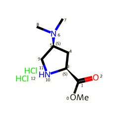 COC(=O)[C@@H]1C[C@H](N(C)C)CN1.Cl.Cl